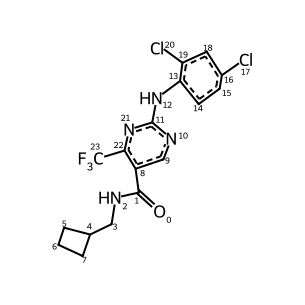 O=C(NCC1CCC1)c1cnc(Nc2ccc(Cl)cc2Cl)nc1C(F)(F)F